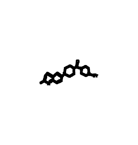 Cc1ccc2cc(N3CCC(C(=O)N4CCN(C(C)C)CC4)CC3)ccc2n1